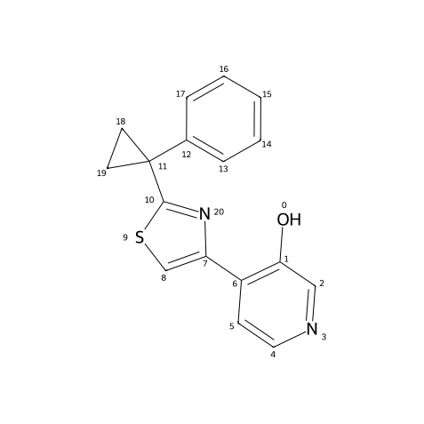 Oc1cnccc1-c1csc(C2(c3ccccc3)CC2)n1